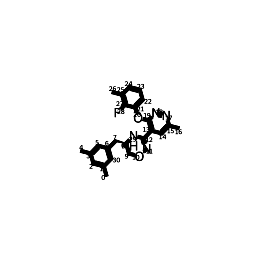 Cc1cc(C)cc(C[C@@H]2CON=C(c3cc(C)nnc3Oc3cccc(C)c3F)N2)c1